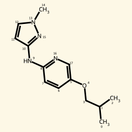 CC(C)COc1ccc(Nc2ccn(C)n2)nc1